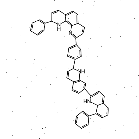 C1=CC2=CC=C(c3ccc4c(c3)NC(c3ccc(-c5ccc6ccc7c(c6n5)NC(c5ccccc5)C=C7)cc3)C=C4)NC2C(c2ccccc2)=C1